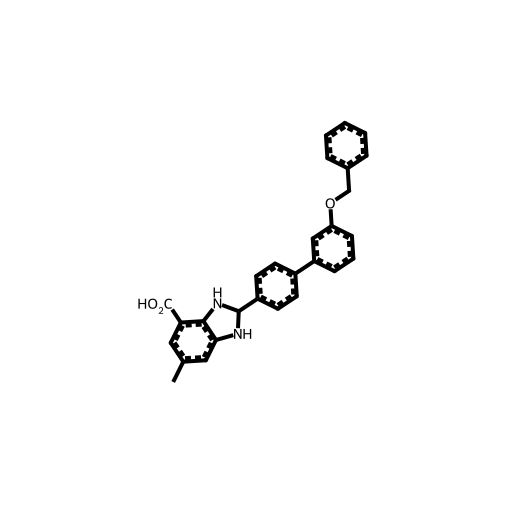 Cc1cc2c(c(C(=O)O)c1)NC(c1ccc(-c3cccc(OCc4ccccc4)c3)cc1)N2